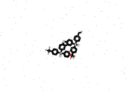 O=P(c1ccc(CF)cc1)(c1ccc(C(F)(F)F)cc1)c1ccc2oc3ccc(P(=O)(c4ccc(CF)cc4)c4ccc(C(F)(F)F)cc4)cc3c2c1